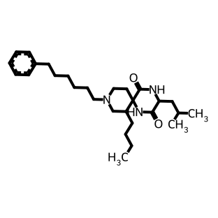 CCCCC1CN(CCCCCCc2ccccc2)CCC12NC(=O)C(CC(C)C)NC2=O